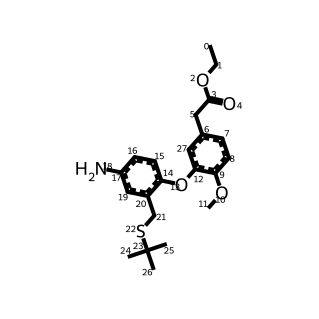 CCOC(=O)Cc1ccc(OC)c(Oc2ccc(N)cc2CSC(C)(C)C)c1